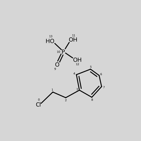 ClCCc1ccccc1.O=P(O)(O)O